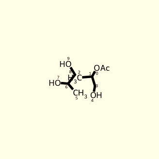 CC(=O)OC(C)CO.CC(O)CO